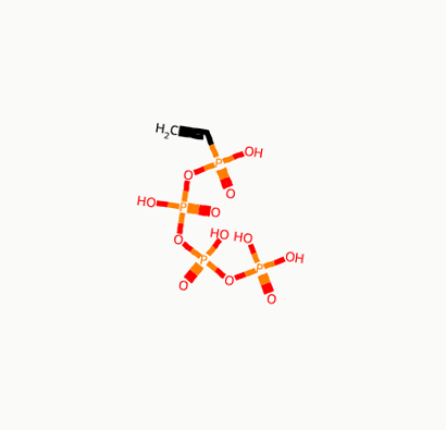 C=CP(=O)(O)OP(=O)(O)OP(=O)(O)OP(=O)(O)O